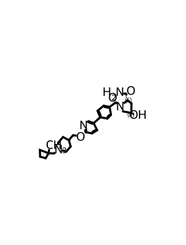 CC1(CN2CCC(COc3ccc(-c4ccc(C(=O)N5C[C@H](O)C[C@H]5C(N)=O)cc4)cn3)CC2)CCC1